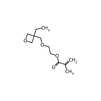 C=C(C)C(=O)OCCOCC1(CC)COC1